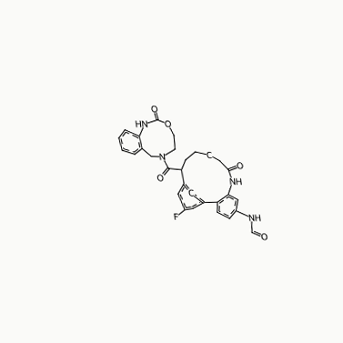 O=CNc1ccc2c(c1)NC(=O)CCCCC(C(=O)N1CCOC(=O)Nc3ccccc3C1)c1cc(F)cc-2c1